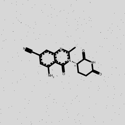 Cc1nc2cc(C#N)cc(N)c2c(=O)n1[C@H]1CCC(=O)NC1=O